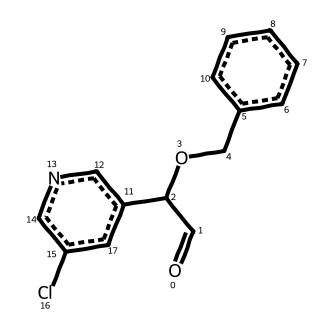 O=CC(OCc1ccccc1)c1cncc(Cl)c1